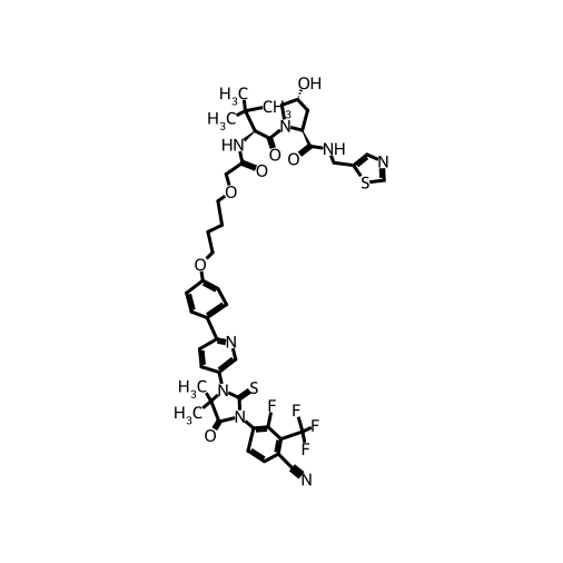 CC(C)(C)[C@H](NC(=O)COCCCCOc1ccc(-c2ccc(N3C(=S)N(c4ccc(C#N)c(C(F)(F)F)c4F)C(=O)C3(C)C)cn2)cc1)C(=O)N1C[C@H](O)C[C@H]1C(=O)NCc1cncs1